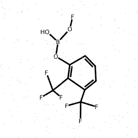 OB(OF)Oc1cccc(C(F)(F)F)c1C(F)(F)F